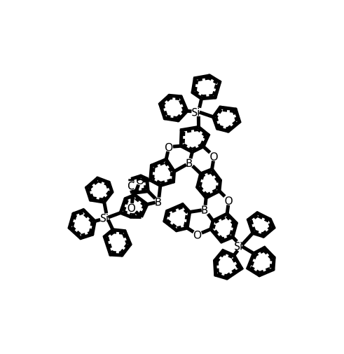 c1ccc([Si](c2ccccc2)(c2ccccc2)c2cc3c4c(c2)Oc2cc5c(cc2B4c2ccccc2O3)B2c3cc4c(cc3Oc3cc([Si](c6ccccc6)(c6ccccc6)c6ccccc6)cc(c32)O5)Oc2cc([Si](c3ccccc3)(c3ccccc3)c3ccccc3)cc3c2B4c2ccccc2O3)cc1